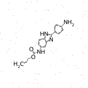 C=CCOC(=O)Nc1ccc2[nH]c(-c3ccc(N)cc3)nc2c1